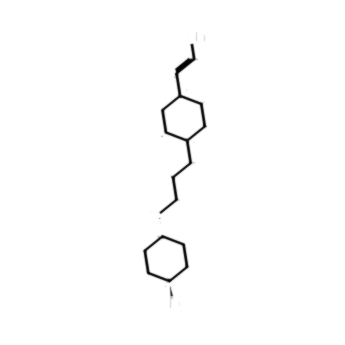 CCCC=CC1CCC(CCCC[C@H]2CC[C@H](CC)CC2)CC1